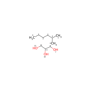 CCCCC(C)C.OCC(O)CO